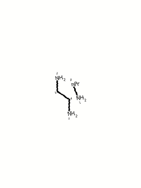 CCCN.NCCN